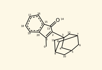 CC1=C(C23CC4CC(CC(C4)C2)C3)C(=O)c2ccccc21